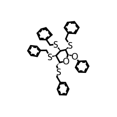 c1ccc(CSC[C@H]2O[C@H](Oc3ccccc3)[C@H](SCc3ccccc3)[C@H](SCc3ccccc3)[C@@H]2SCc2ccccc2)cc1